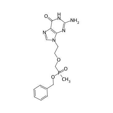 CP(=O)(COCCn1cnc2c(=O)[nH]c(N)nc21)OCc1ccccc1